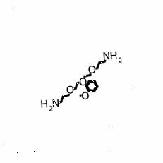 COc1ccccc1.NCCCOCCOCCOCCCN